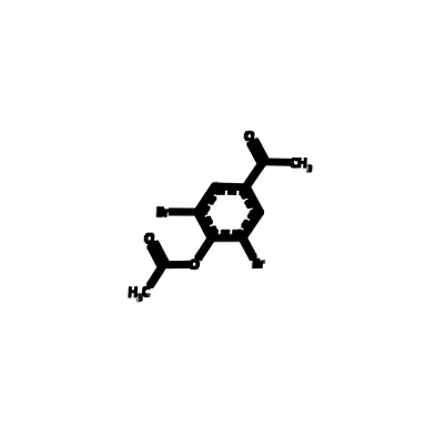 CC(=O)Oc1c(Br)cc(C(C)=O)cc1Br